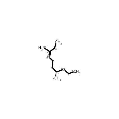 CCO[C@@H](C)CC/N=C(/N)CC